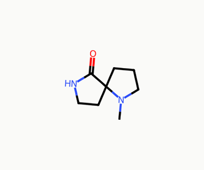 CN1CCCC12CCNC2=O